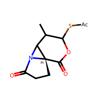 CC(=O)SC1OC(=O)[C@]23CCC(=O)N2C3C1C